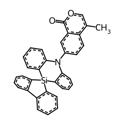 Cc1coc(=O)c2cc(N3c4ccccc4[Si]4(c5ccccc5-c5ccccc54)c4ccccc43)ccc12